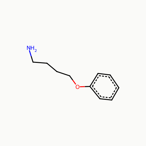 NCCCCOc1ccccc1